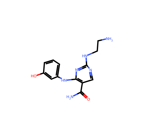 NCCNc1ncc(C(N)=O)c(Nc2cccc(O)c2)n1